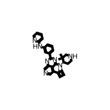 CC1(C)CNCC[C@@H]1Nc1nc(-c2cccc(Nc3ccccn3)c2)nc2cncc(C3=CC=C3)c12